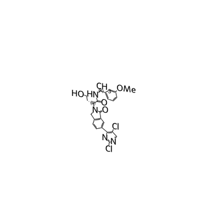 COc1cccc([C@@H](C)NC(=O)[C@@H](CCO)N2Cc3ccc(-c4nc(Cl)ncc4Cl)cc3C2=O)c1